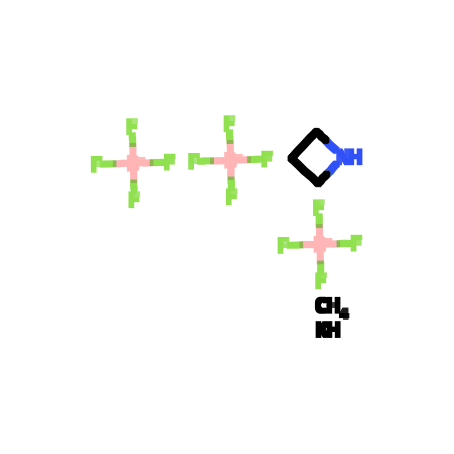 C.C1CNC1.F[B-](F)(F)F.F[B-](F)(F)F.F[B-](F)(F)F.[KH]